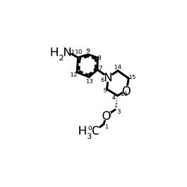 CCOC[C@@H]1CN(c2ccc(N)cc2)CCO1